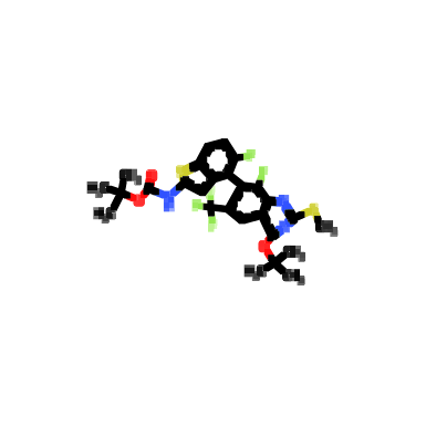 CSc1nc(OC(C)(C)C)c2cc(C(F)(F)F)c(-c3c(F)ccc4sc(NC(=O)OC(C)(C)C)cc34)c(F)c2n1